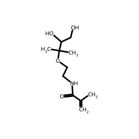 C=C(C)C(=O)NCCOC(C)(C)C(O)CO